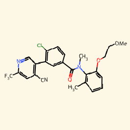 COCCOc1cccc(C)c1N(C)C(=O)c1ccc(Cl)c(-c2cnc(C(F)(F)F)cc2C#N)c1